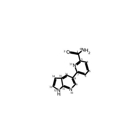 NC(=O)c1cccc(-c2cnc3[nH]ccc3c2)n1